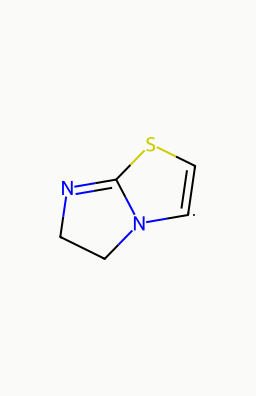 [C]1=CSC2=NCCN12